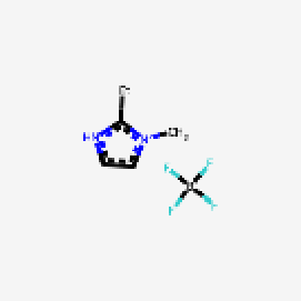 CCc1[nH]cc[n+]1C.F[B-](F)(F)F